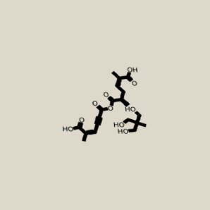 C=C(CC=C(C)C(=O)O)C(=O)OC(=O)C#CC=C(C)C(=O)O.CC(CO)(CO)CO